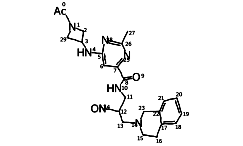 CC(=O)N1CC(Nc2cc(C(=O)NCC(CN3CCc4ccccc4C3)N=O)nc(C)n2)C1